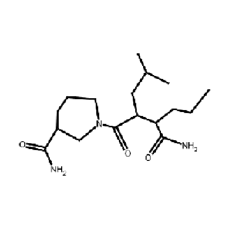 CCCC(C(N)=O)C(CC(C)C)C(=O)N1CCCC(C(N)=O)C1